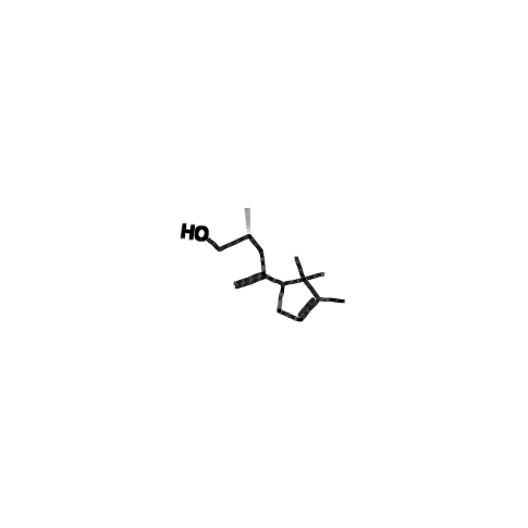 C=C(C[C@@H](C)CO)C1CC=C(C)C1(C)C